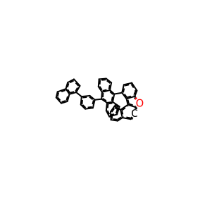 c1cc(-c2cccc3ccccc23)cc(-c2c3ccccc3c(-c3cccc4oc5ccc6ccccc6c5c34)c3ccccc23)c1